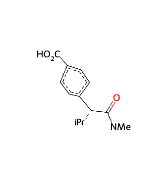 CNC(=O)[C@@H](c1ccc(C(=O)O)cc1)C(C)C